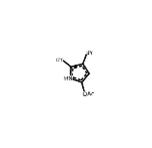 CC(=O)Oc1cc(C(C)C)c(C(C)C)[nH]1